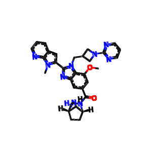 COc1cc(C(=O)N2C[C@H]3CC[C@@H]2[C@@H]3N)cc2nc(-c3cc4cccnc4n3C)n(CC3CN(c4ncccn4)C3)c12